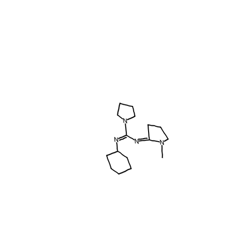 CN1CCCC1=NC(=NC1CCCCC1)N1CCCC1